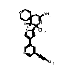 CC#Cc1cncc(-c2csc(C3(C)N=C(N)SC4(CCOCC4)C3(F)F)c2)c1